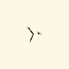 [CH2]CC.[Ru]